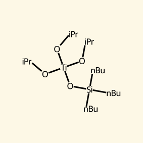 CCCC[Si](CCCC)(CCCC)[O][Ti]([O]C(C)C)([O]C(C)C)[O]C(C)C